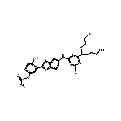 C[PH](=O)Oc1ccc(O)c(-n2nc3ccc(Nc4nc(Cl)nc(N(CCCO)CCCO)n4)cc3n2)c1